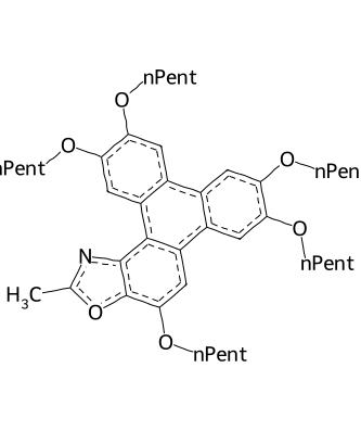 CCCCCOc1cc2c3cc(OCCCCC)c(OCCCCC)cc3c3c(cc(OCCCCC)c4oc(C)nc43)c2cc1OCCCCC